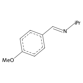 COc1ccc(/C=N/C(C)C)cc1